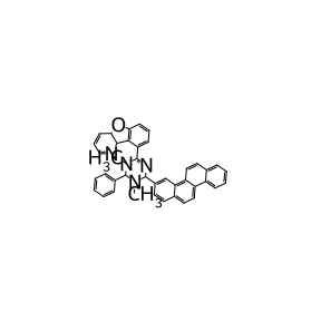 CN1C(c2cccc3c2C2N=CC=CC2O3)=NC(c2ccc3ccc4c5ccccc5ccc4c3c2)N(C)C1c1ccccc1